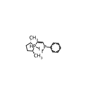 C[C@H]1CC[C@H](C)[PH]1(I)/C=C\[P@](I)c1ccccc1